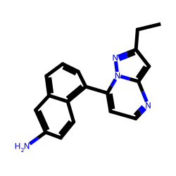 CCc1cc2nccc(-c3cccc4cc(N)ccc34)n2n1